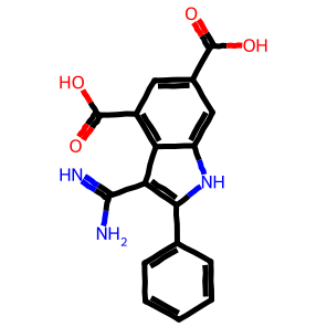 N=C(N)c1c(-c2ccccc2)[nH]c2cc(C(=O)O)cc(C(=O)O)c12